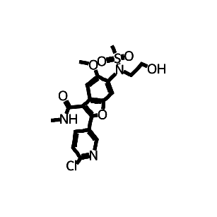 CNC(=O)c1c(-c2ccc(Cl)nc2)oc2cc(N(CCO)S(C)(=O)=O)c(OC)cc12